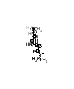 CN(C)CCNc1cc(F)cc(-c2cncc3[nH]c(-c4n[nH]c5ccc(-c6cncc(NC(=O)CN(C)C)c6)cc45)cc23)c1